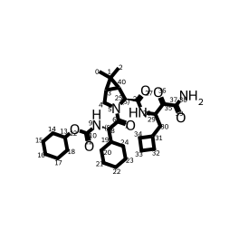 CC1(C)C2CN(C(=O)[C@@H](NC(=O)OC3CCCCC3)C3CCCCC3)[C@H](C(=O)NC(CC3CCC3)C(=O)C(N)=O)C21